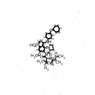 CN[C@@H](C)C(=O)N[C@H](C(=O)N(C(=O)[C@@H]1CCCN1)c1cc2c(Nc3ccc(Oc4ccccc4)cc3)ncnc2cc1OC)C(C)(C)C.Cl